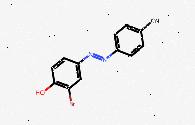 N#Cc1ccc(N=Nc2ccc(O)c(Br)c2)cc1